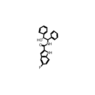 O=C(NC(c1ccccc1)[C@H](O)c1ccccc1)c1cc2cc(F)ccc2[nH]1